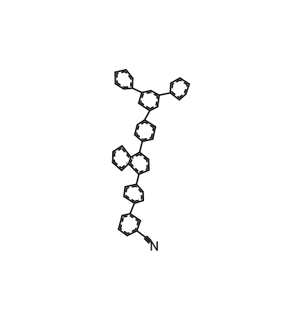 N#Cc1cccc(-c2ccc(-c3ccc(-c4ccc(-c5cc(-c6ccccc6)cc(-c6ccccc6)c5)cc4)c4ccccc34)cc2)c1